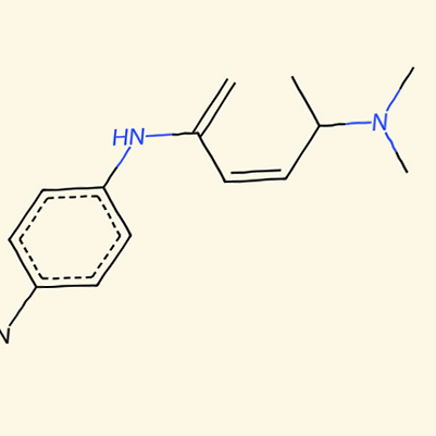 C=C(/C=C\C(C)N(C)C)Nc1ccc(N=O)cc1